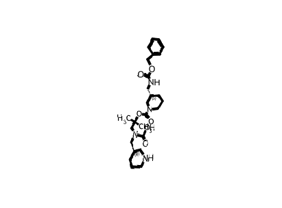 CC(C)(CN(C[C@@H]1CCCNC1)C(=O)O)OC(=O)N1CCC[C@@H](CNC(=O)OCc2ccccc2)C1